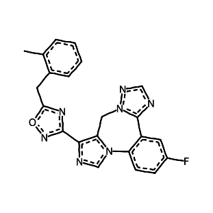 Cc1ccccc1Cc1nc(-c2ncn3c2Cn2ncnc2-c2cc(F)ccc2-3)no1